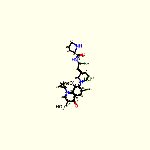 COc1c(N2CCCC(=CC(F)NC(=O)[C@@H]3CCCN3)C2)c(F)cc2c(=O)c(C(=O)O)cn(C3CC3)c12.Cl